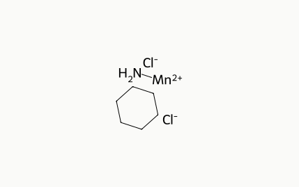 C1CCCCC1.[Cl-].[Cl-].[NH2][Mn+2]